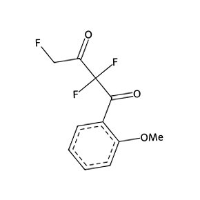 COc1ccccc1C(=O)C(F)(F)C(=O)CF